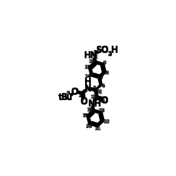 CC(C)(C)OC(=O)N[C@@H](Cc1ccc(NS(=O)(=O)O)cc1)C(=O)Nc1ccccc1